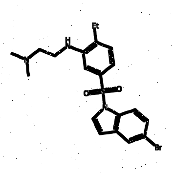 CCc1ccc(S(=O)(=O)n2ccc3cc(Br)ccc32)cc1NCCN(C)C